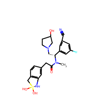 CN(C(=O)Cc1ccc2c(c1)NS(O)(O)C2)[C@H](CN1CCC(O)C1)c1cc(F)cc(C#N)c1